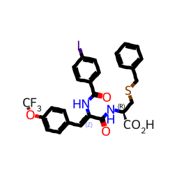 O=C(N[C@@H](CSCc1ccccc1)C(=O)O)/C(=C/c1ccc(OC(F)(F)F)cc1)NC(=O)c1ccc(I)cc1